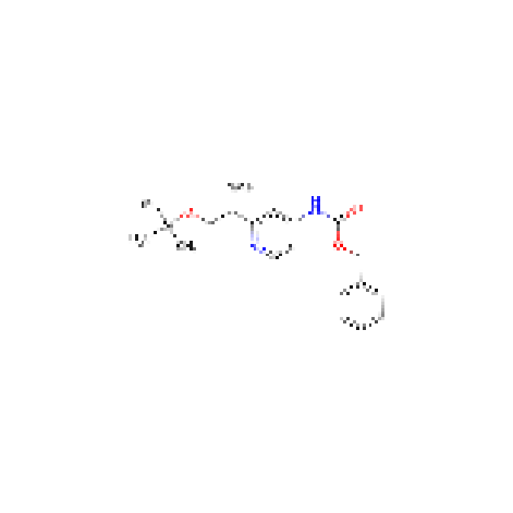 CNC(CO[Si](C)(C)C(C)(C)C)c1cc(NC(=O)OCc2ccccc2)ccn1